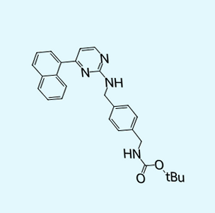 CC(C)(C)OC(=O)NCc1ccc(CNc2nccc(-c3cccc4ccccc34)n2)cc1